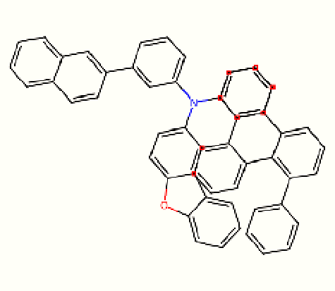 c1ccc(-c2ccccc2-c2c(-c3ccccc3)cccc2-c2cccc(N(c3cccc(-c4ccc5ccccc5c4)c3)c3ccc4oc5ccccc5c4c3)c2)cc1